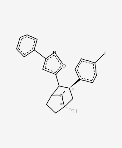 CN1C2CC[C@@H]1C[C@H](c1ccc(I)cc1)C2c1cc(-c2ccccc2)no1